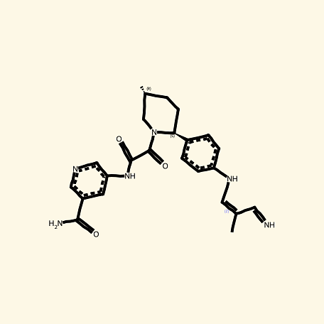 C/C(C=N)=C/Nc1ccc([C@@H]2CC[C@@H](C)CN2C(=O)C(=O)Nc2cncc(C(N)=O)c2)cc1